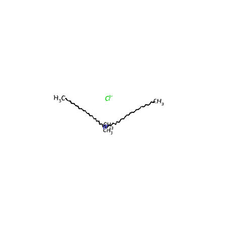 CCCCCCCCCCCCCCCCCCCCCCC[N+](C)(C)CCCCCCCCCCCCCCCCCCCCCC.[Cl-]